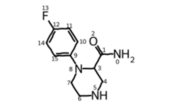 NC(=O)C1CNCCN1c1ccc(F)cc1